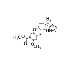 COC(=O)c1cc(O[C@H]2CC[C@@](C)(c3nnn[nH]3)CC2)c(F)cc1OC